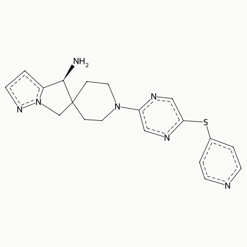 N[C@@H]1c2ccnn2CC12CCN(c1cnc(Sc3ccncc3)cn1)CC2